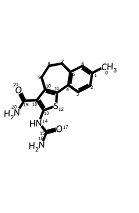 Cc1ccc2c(c1)CCCc1c-2sc(NC(N)=O)c1C(N)=O